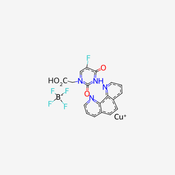 F[B-](F)(F)F.O=C(O)Cn1cc(F)c(=O)[nH]c1=O.[Cu+].c1cnc2c(c1)ccc1cccnc12